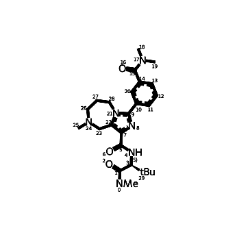 CNC(=O)[C@@H](NC(=O)c1nc(-c2cccc(C(=O)N(C)C)c2)n2c1CN(C)CCC2)C(C)(C)C